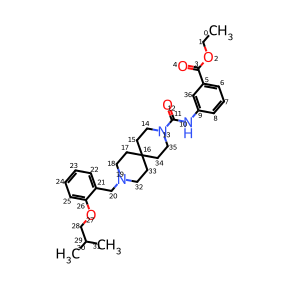 CCOC(=O)c1cccc(NC(=O)N2CCC3(CCN(Cc4ccccc4OCC(C)C)CC3)CC2)c1